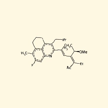 CC/C(C(C)=O)=C(/C=C(\C)c1nc2cc(F)c(C)c3c2c(c1CC(C)C)CCC3)[C@@H](C)OC